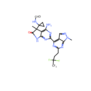 Cn1ncc2c(-c3nc(N)c4c(n3)NC(=O)C4(C)C3(NC=O)CC3)nc(CCC(F)(F)C(F)(F)F)nc21